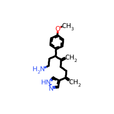 C=C(CCC(=C)C(CCN)c1ccc(OC)cc1)c1cn[nH]c1